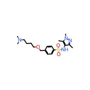 Cc1nn(C)c(C)c1NS(=O)(=O)c1ccc(COCCCCN(C)C)cc1